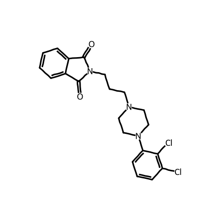 O=C1c2ccccc2C(=O)N1CCCN1CCN(c2cccc(Cl)c2Cl)CC1